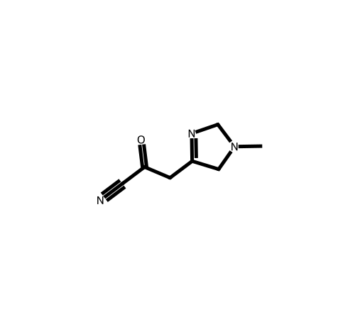 CN1CN=C(CC(=O)C#N)C1